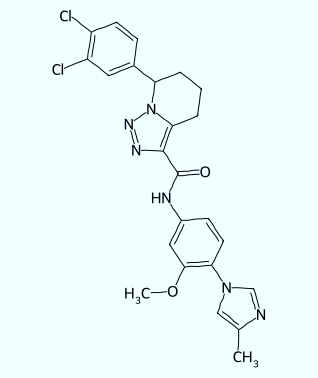 COc1cc(NC(=O)c2nnn3c2CCCC3c2ccc(Cl)c(Cl)c2)ccc1-n1cnc(C)c1